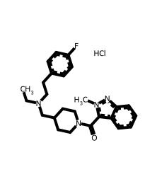 CCN(CCc1ccc(F)cc1)CC1CCN(C(=O)c2c3ccccc3nn2C)CC1.Cl